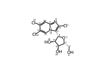 OC[C@H]1O[C@@H](c2c(Cl)nc3cc(Cl)c(Cl)cn23)[C@H](O)[C@@H]1O